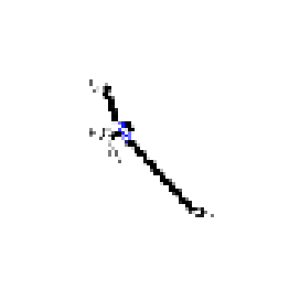 CCCCCCCCCCCCCCCCN1C=CN(CCCCCCC)C1C(C)C